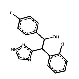 OC(c1ccc(F)cc1)C(c1nc[nH]n1)c1ccccc1Cl